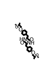 CC(COc1ccc(C=c2[nH]c(=O)c(=Cc3ccc(OCC(C)N(C)C)cc3)[nH]c2=O)cc1)N(C)C